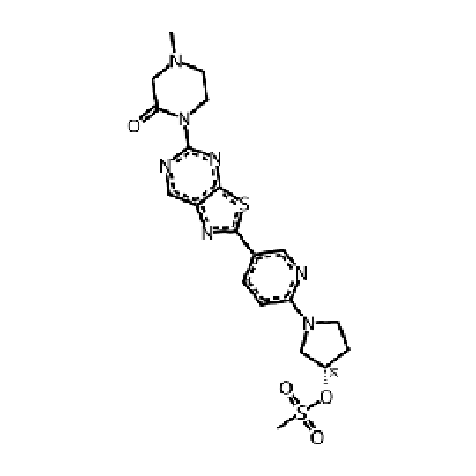 CN1CCN(c2ncc3nc(-c4ccc(N5CC[C@H](OS(C)(=O)=O)C5)nc4)sc3n2)C(=O)C1